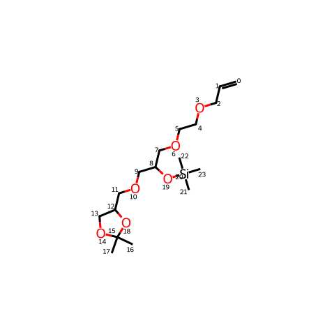 C=CCOCCOCC(COCC1COC(C)(C)O1)O[Si](C)(C)C